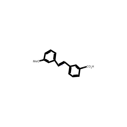 COc1cccc(/C=C/c2cccc(C(=O)O)c2)c1